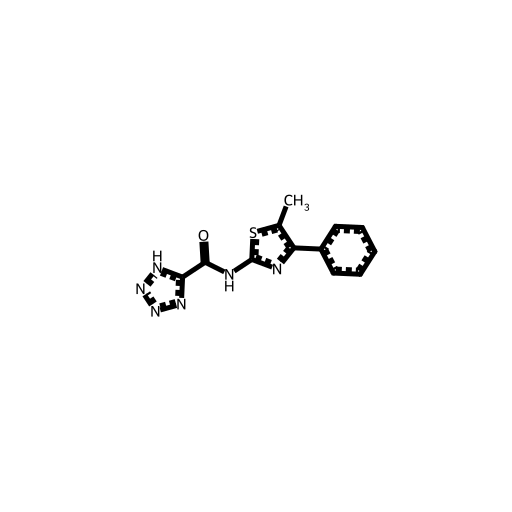 Cc1sc(NC(=O)c2nnn[nH]2)nc1-c1ccccc1